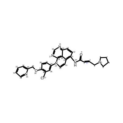 O=C(/C=C/CN1CCCC1)Nc1ccc2ncnc3c2c1C=CN3c1ccc(OCc2ccccn2)c(Cl)c1